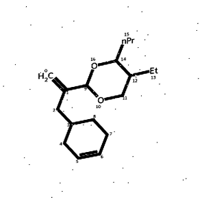 C=C(CC1CC=CCC1)C1OCC(CC)C(CCC)O1